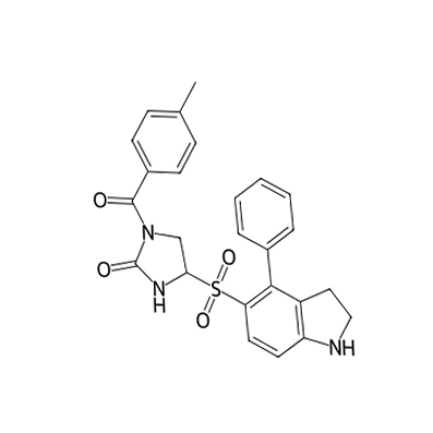 Cc1ccc(C(=O)N2CC(S(=O)(=O)c3ccc4c(c3-c3ccccc3)CCN4)NC2=O)cc1